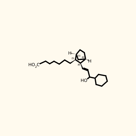 O=C(O)CCCCCC[C@H]1[C@H]2CC[C@H](C2)[C@H]1C=CC(O)C1CCCCC1